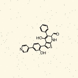 O=CC1Nc2scc(-c3ccc(-c4ccncc4)cc3O)c2C(O)=C1c1ccccc1